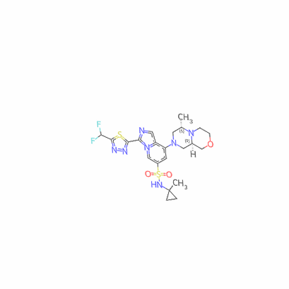 C[C@H]1CN(c2cc(S(=O)(=O)NC3(C)CC3)cn3c(-c4nnc(C(F)F)s4)ncc23)C[C@@H]2COCCN21